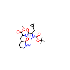 COC(=O)C(C[C@@H]1CCCNC1=O)NC(=O)C(CC1CC1)N(C)C(=O)OC(C)(C)C